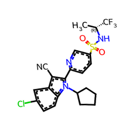 C[C@@H](NS(=O)(=O)c1ccc(-c2c(C#N)c3cc(Cl)ccc3n2C2CCCC2)nc1)C(F)(F)F